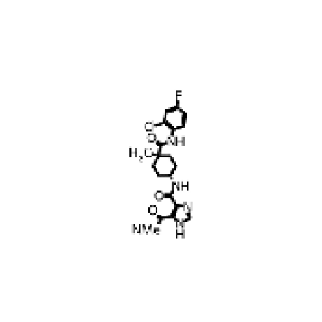 CNC(=O)c1[nH]cnc1C(=O)N[C@H]1CC[C@@](C)(C(=O)Nc2ccc(F)cc2Cl)CC1